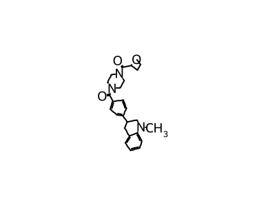 CN1CC(c2ccc(C(=O)N3CCN(C(=O)C4CCO4)CC3)cc2)Cc2ccccc21